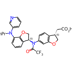 CCCN(c1cccnc1)c1cccc2c1OC[C@H]2N(C(=O)C(F)(F)F)c1ccc2c(c1)OC[C@H]2CC(=O)O